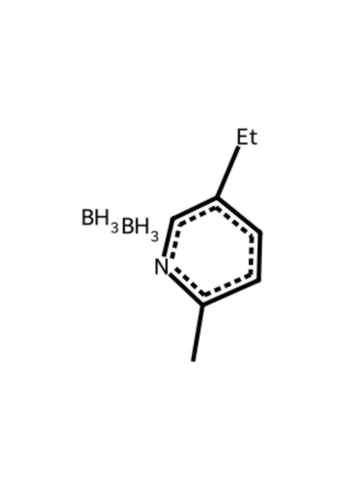 B.B.CCc1ccc(C)nc1